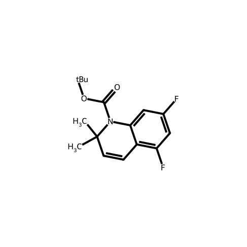 CC(C)(C)OC(=O)N1c2cc(F)cc(F)c2C=CC1(C)C